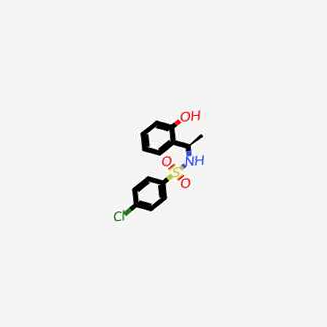 C[C@@H](NS(=O)(=O)c1ccc(Cl)cc1)c1ccccc1O